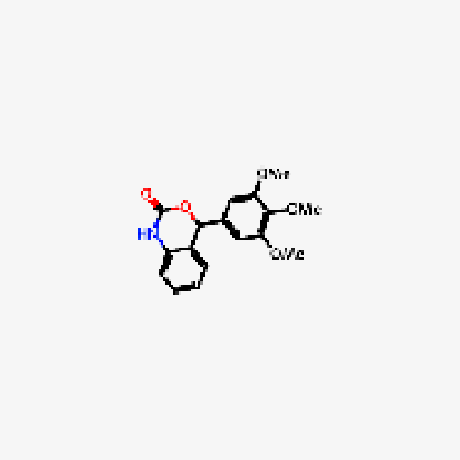 COc1cc(C2OC(=O)Nc3ccccc32)cc(OC)c1OC